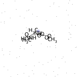 CNC(CCCN/C(C)=C\C(=O)OCCOC(C)=O)C(=O)O